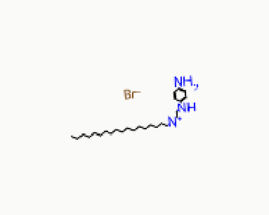 CCCCCCCCCCCCCCCCCC[N+](C)(C)CCNc1ccc(N)cc1.[Br-]